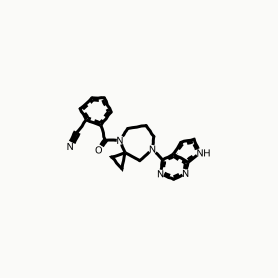 N#Cc1ccccc1C(=O)N1CCCN(c2ncnc3[nH]ccc23)CC12CC2